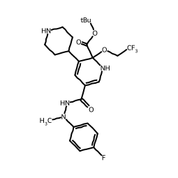 CN(NC(=O)C1=CNC(OCC(F)(F)F)(C(=O)OC(C)(C)C)C(C2CCNCC2)=C1)c1ccc(F)cc1